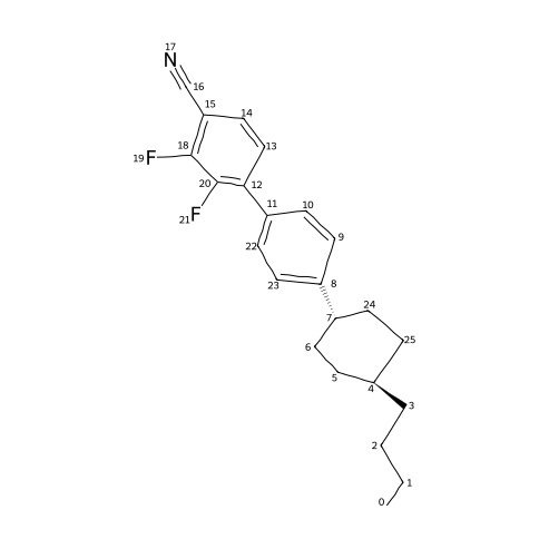 CCCC[C@H]1CC[C@H](c2ccc(-c3ccc(C#N)c(F)c3F)cc2)CC1